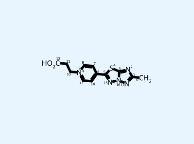 Cc1nc2sc(-c3cc[n+](CCC(=O)O)cc3)nn2n1